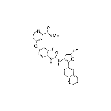 CNC(=O)c1cc(Oc2ccc(NC(=O)Nc3cc(C(C)C)oc3-c3ccc4ncccc4c3)c(F)c2)ccn1